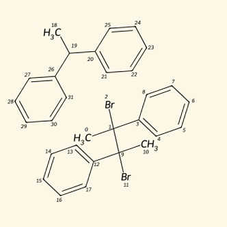 CC(Br)(c1ccccc1)C(C)(Br)c1ccccc1.CC(c1ccccc1)c1ccccc1